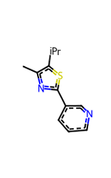 Cc1nc(-c2cccnc2)sc1C(C)C